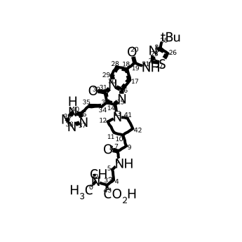 CN(C)C(CCNC(=O)CC1CCN(c2nc3cc(C(=O)Nc4nc(C(C)(C)C)cs4)ccn3c(=O)c2C=Cc2nnn[nH]2)CC1)C(=O)O